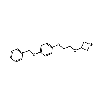 c1ccc(COc2ccc(OCCOC3CNC3)cc2)cc1